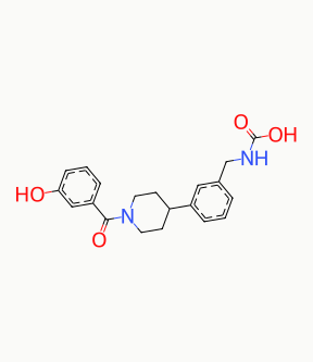 O=C(O)NCc1cccc(C2CCN(C(=O)c3cccc(O)c3)CC2)c1